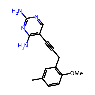 COc1ccc(C)cc1CC#Cc1cnc(N)nc1N